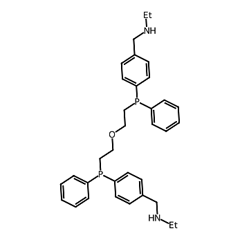 CCNCc1ccc(P(CCOCCP(c2ccccc2)c2ccc(CNCC)cc2)c2ccccc2)cc1